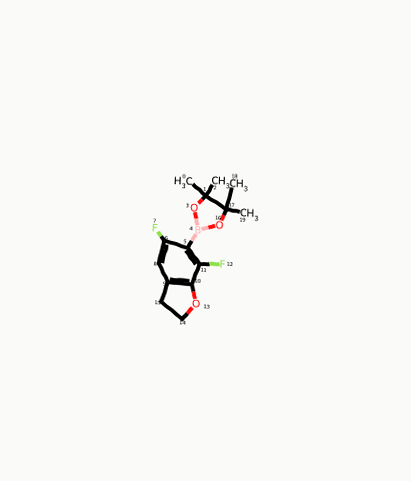 CC1(C)OB(c2c(F)cc3c(c2F)OCC3)OC1(C)C